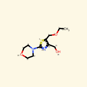 CCOCc1sc(N2CCOCC2)nc1CO